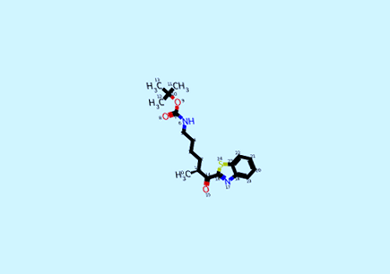 C[C@@H](CCCCNC(=O)OC(C)(C)C)C(=O)c1nc2ccccc2s1